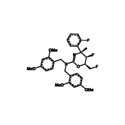 COc1ccc(CN(Cc2ccc(OC)cc2OC)C2=N[C@](C)(c3ccccc3F)[C@@H](F)[C@@H](CF)O2)c(OC)c1